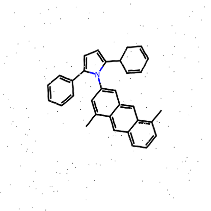 Cc1cccc2cc3c(C)cc(-n4c(-c5ccccc5)ccc4C4C=CC=CC4)cc3cc12